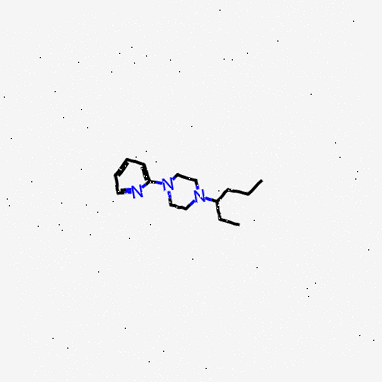 CCCC(CC)N1CCN(c2ccccn2)CC1